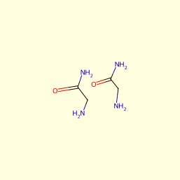 NCC(N)=O.NCC(N)=O